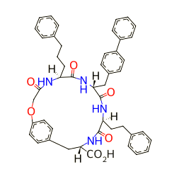 O=C1COc2ccc(cc2)C[C@@H](C(=O)O)NC(=O)[C@H](CCc2ccccc2)NC(=O)[C@@H](Cc2ccc(-c3ccccc3)cc2)NC(=O)[C@H](CCCc2ccccc2)N1